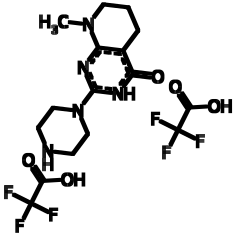 CN1CCCc2c1nc(N1CCNCC1)[nH]c2=O.O=C(O)C(F)(F)F.O=C(O)C(F)(F)F